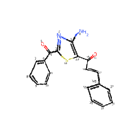 Nc1nc(C(=O)c2ccccc2)sc1C(=O)C=Cc1ccccc1